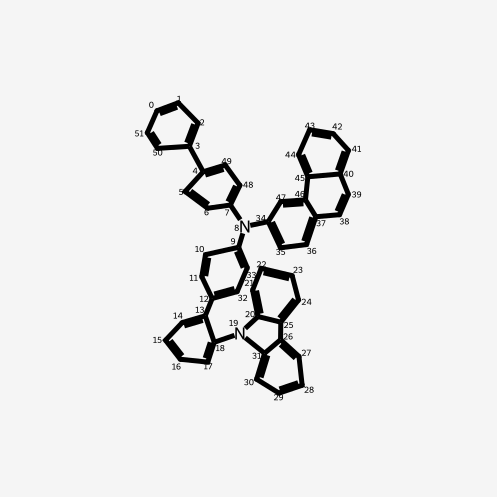 c1ccc(-c2ccc(N(c3ccc(-c4ccccc4-n4c5ccccc5c5ccccc54)cc3)c3ccc4ccc5ccccc5c4c3)cc2)cc1